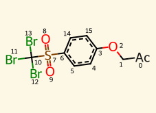 CC(=O)COc1ccc(S(=O)(=O)C(Br)(Br)Br)cc1